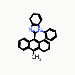 Cc1c2c(c(-c3nc4c(n3-c3ccccc3)C=CCC4)c3ccccc13)C=CCC2